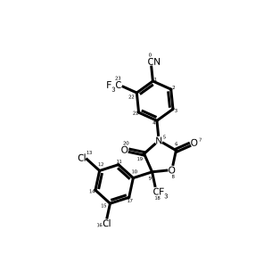 N#Cc1ccc(N2C(=O)OC(c3cc(Cl)cc(Cl)c3)(C(F)(F)F)C2=O)cc1C(F)(F)F